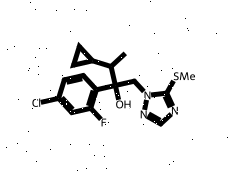 CSc1ncnn1CC(O)(c1ccc(Cl)cc1F)C(C)C1CC1